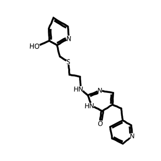 O=c1[nH]c(NCCSCc2ncccc2O)ncc1Cc1cccnc1